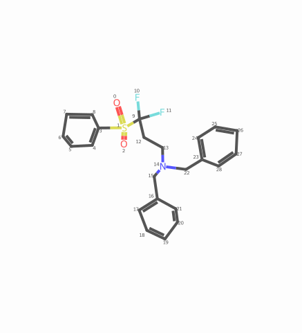 O=S(=O)(c1ccccc1)C(F)(F)CCN(Cc1ccccc1)Cc1ccccc1